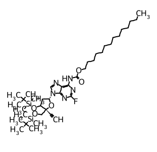 C#C[C@]1(CO[Si](C)(C)C(C)(C)C)O[C@@H](n2cnc3c(NC(=O)OCCCCCCCCCCCCCC)nc(F)nc32)CC1O[Si](C)(C)C(C)(C)C